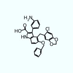 Nc1cccc(-c2c(C(=O)O)[nH]c3ccc(OCc4ccccc4)c(Cc4cc5c(cc4Cl)OCO5)c23)c1